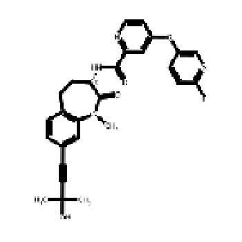 CN1C(=O)[C@@H](NC(=O)c2cc(Oc3ccc(F)nc3)ccn2)CCc2ccc(C#CC(C)(C)O)cc21